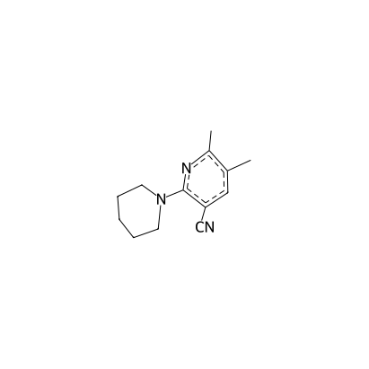 Cc1cc(C#N)c(N2CCCCC2)nc1C